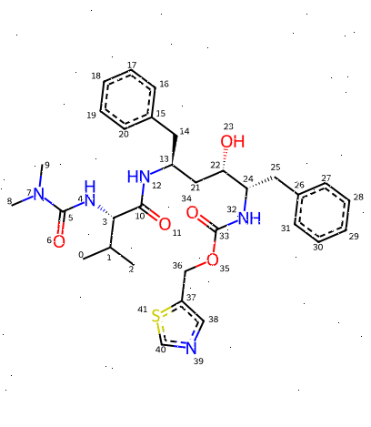 CC(C)[C@H](NC(=O)N(C)C)C(=O)N[C@@H](Cc1ccccc1)C[C@H](O)[C@H](Cc1ccccc1)NC(=O)OCc1cncs1